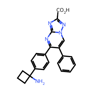 NC1(c2ccc(-c3nc4nc(C(=O)O)nn4cc3-c3ccccc3)cc2)CCC1